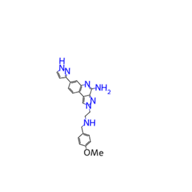 COc1ccc(CNCCn2cc3c(n2)c(N)nc2cc(-c4cc[nH]n4)ccc23)cc1